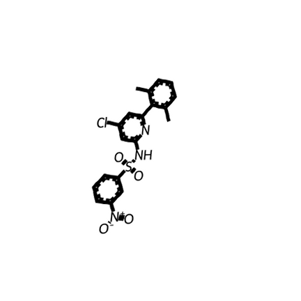 Cc1cccc(C)c1-c1cc(Cl)cc(NS(=O)(=O)c2cccc([N+](=O)[O-])c2)n1